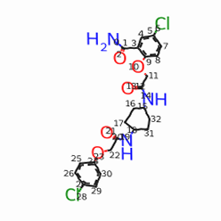 NC(=O)c1cc(Cl)ccc1OCC(=O)N[C@H]1CC[C@H](NC(=O)COc2ccc(Cl)cc2)CC1